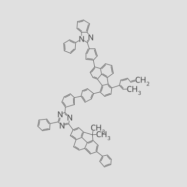 C=C/C=C\C(=C/C)c1ccc(-c2ccc(-c3cccc(-c4nc(-c5ccccc5)nc(-c5cc6c7c(ccc8cc(-c9ccccc9)cc(c87)C6(C)C)c5)n4)c3)cc2)c2c1-c1cccc3c(-c4ccc(-c5nc6ccccc6n5-c5ccccc5)cc4)ccc-2c13